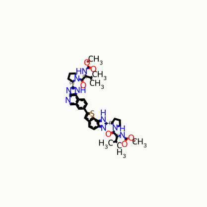 COC(=O)N[C@H](C(=O)N1CCC[C@H]1c1nc2ncc3cc(-c4cc5ccc6nc([C@@H]7CCCN7C(=O)[C@@H](NC(=O)OC)C(C)C)[nH]c6c5s4)ccc3c2[nH]1)C(C)C